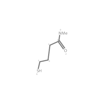 CNC(=O)CCCS